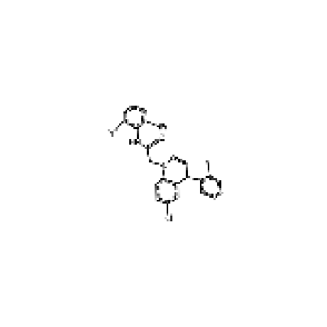 Cc1ccccc1C1C=CN(CC(=O)Nc2c(C(C)C)cccc2C(C)C)c2ccc(Cl)cc21